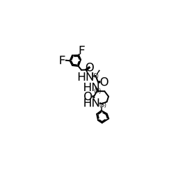 C[C@H](NC(=O)Cc1cc(F)cc(F)c1)C(=O)N[C@H]1CCC[C@@H](c2ccccc2)NC1=O